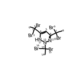 CC(Br)(Br)C1=CC(C(C)(Br)Br)=NN(C(C)(Br)Br)N1